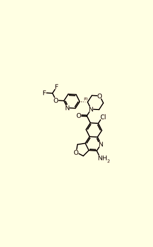 Nc1nc2cc(Cl)c(C(=O)N3CCOC[C@H]3c3ccc(OC(F)F)nc3)cc2c2c1COC2